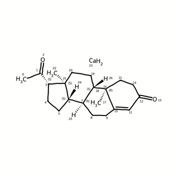 CC(=O)[C@H]1CC[C@H]2[C@@H]3CCC4=CC(=O)CC[C@]4(C)[C@H]3CC[C@]12C.[CaH2]